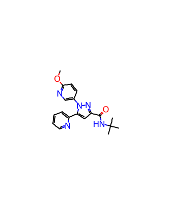 COc1ccc(-n2nc(C(=O)NC(C)(C)C)cc2-c2ccccn2)cn1